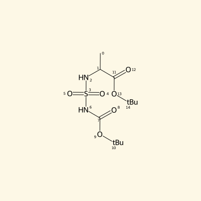 CC(NS(=O)(=O)NC(=O)OC(C)(C)C)C(=O)OC(C)(C)C